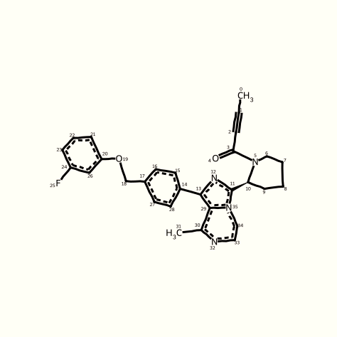 CC#CC(=O)N1CCCC[C@H]1c1nc(-c2ccc(COc3cccc(F)c3)cc2)c2c(C)nccn12